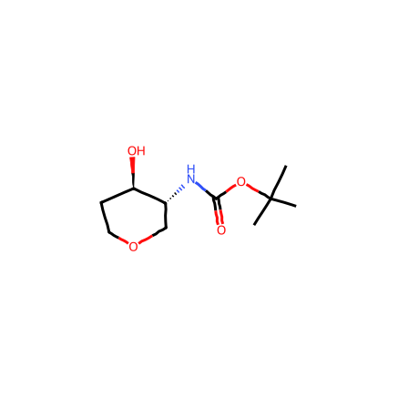 CC(C)(C)OC(=O)N[C@@H]1COCC[C@H]1O